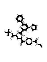 CCOC(=O)N1CCN(C(=O)C(CCC(=O)OC(C)(C)C)NC(=O)c2cc(N3CCCC3)cc(-c3ccccc3)n2)CC1